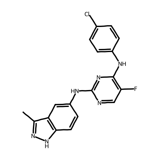 Cc1n[nH]c2ccc(Nc3ncc(F)c(Nc4ccc(Cl)cc4)n3)cc12